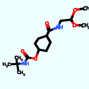 COC(CNC(=O)C1CCC(OC(=O)NC(C)(C)C)CC1)OC